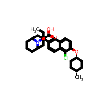 CCC(c1ccc2c(Cl)c(O[C@H]3CC[C@@H](C)CC3)ccc2c1)N1C2CCCC1CC(C(=O)O)C2